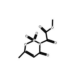 COC(=O)C(=O)N1C(=O)C=C(C)OS1(=O)=O